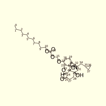 CCCCCCCCCCCOC(=O)OCOc1ccc2c3c1O[C@H]1C(=O)CC[C@@]4(O)C(C2)N(CC2CC2)CC[C@]314